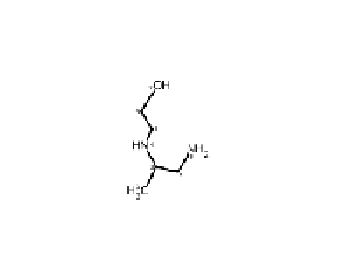 CC(CN)NCCO